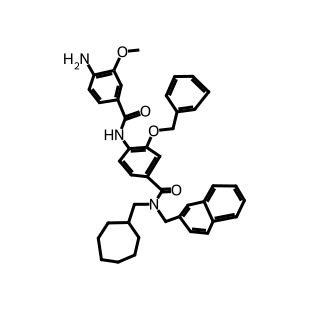 COc1cc(C(=O)Nc2ccc(C(=O)N(Cc3ccc4ccccc4c3)CC3CCCCCC3)cc2OCc2ccccc2)ccc1N